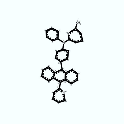 Cc1cccc(N(c2ccccc2)c2ccc(-c3c4ccccc4c(-c4ccccn4)c4ccccc34)cc2)n1